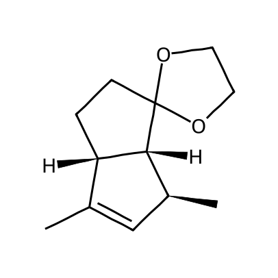 CC1=C[C@H](C)[C@@H]2[C@H]1CCC21OCCO1